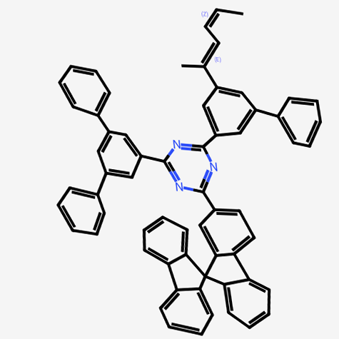 C/C=C\C=C(/C)c1cc(-c2ccccc2)cc(-c2nc(-c3cc(-c4ccccc4)cc(-c4ccccc4)c3)nc(-c3ccc4c(c3)C3(c5ccccc5-c5ccccc53)c3ccccc3-4)n2)c1